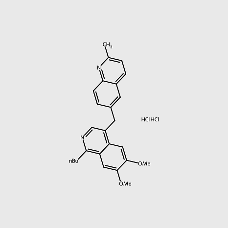 CCCCc1ncc(Cc2ccc3nc(C)ccc3c2)c2cc(OC)c(OC)cc12.Cl.Cl